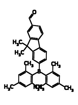 Cc1cc(C)c(B(c2ccc3c(c2)C(C)(C)c2cc(C=O)ccc2-3)c2c(C)cc(C)cc2C)c(C)c1